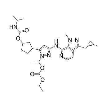 CCOC(=O)OC(C)n1nc(Nc2nccc3c(COC)nn(C)c23)cc1C1CCC(OC(=O)NC(C)C)C1